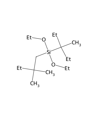 CCO[Si](CC(C)(C)CC)(OCC)C(C)(CC)CC